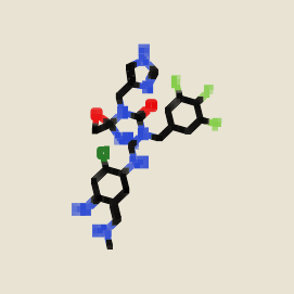 CN/C=C1/CC(NCN(CC2CC(F)C(F)C(F)C2)C(=O)N(Cc2c[nH]cn2)C2(N)CO2)C(Cl)CC1=N